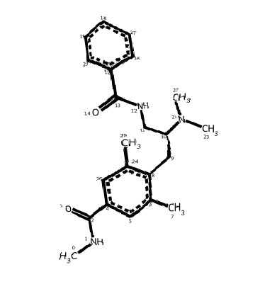 CNC(=O)c1cc(C)c(C[C@@H](CNC(=O)c2ccccc2)N(C)C)c(C)c1